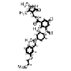 CCN(c1cc(Cl)cc(C(=O)NCc2c(C)n(C)[nH]c2=O)c1C)[C@H]1CC[C@H](N(C)Cc2cccc(OCCOC)c2)CC1